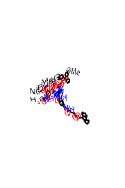 COc1ccc(C(OC[C@H]2O[C@@H](n3cnc4c(NC(=O)c5ccc(CNC(=O)CCCC(=O)OCC6c7ccccc7-c7ccccc76)cc5)ncnc43)C[C@H]2OP(=O)(OCCC#N)OC[C@H]2O[C@@H](n3cc(C)c(=O)[nH]c3=O)C[C@H]2OP(OCCC#N)C(C(C)C)C(C)C)(c2ccccc2)c2ccc(OC)cc2)cc1